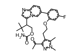 CC(=O)c1nn(C)c(C)c1CCOc1cc(F)ccc1-c1ccc2ncc(C(COC(N)=O)C(C)(C)C)n2c1